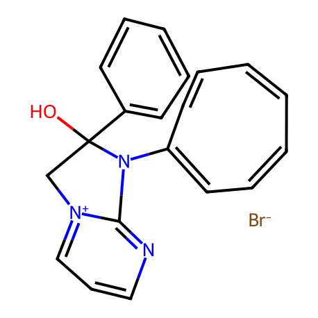 OC1(c2ccccc2)C[n+]2cccnc2N1C1=CC=CC=CC=C1.[Br-]